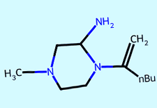 C=C(CCCC)N1CCN(C)CC1N